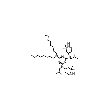 CCCCCCCCN(CCCCCCCC)c1nc(N(CC(C)C)C2CCNC(C)(C)C2)nc(N(CC(C)C)C2CCNC(C)(C)C2)n1